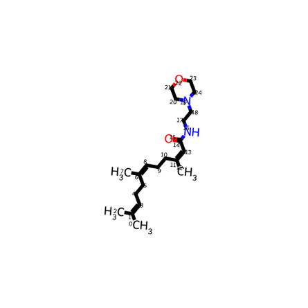 CC(C)=CCCC(C)=CCCC(C)=CC(=O)NCCN1CCOCC1